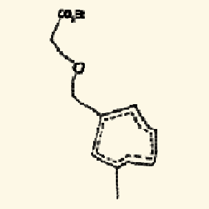 CCOC(=O)COCc1cccc(C)c1